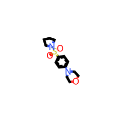 O=S(=O)(c1ccc(N2CCOCC2)cc1)N1CCCC1